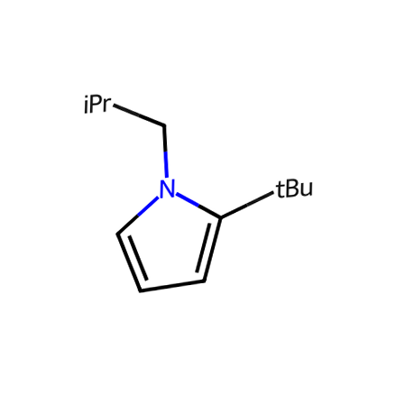 CC(C)Cn1cccc1C(C)(C)C